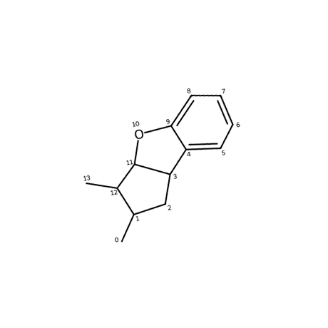 CC1CC2c3ccccc3OC2C1C